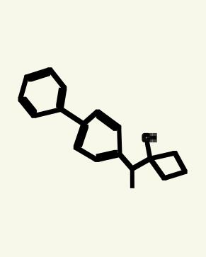 CC(c1ccc(-c2ccccc2)cc1)C1(O)CCC1